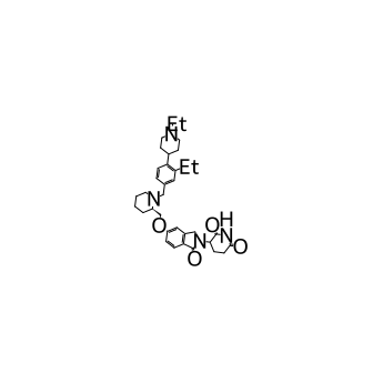 CCc1cc(CN2CCCC[C@@H]2COc2ccc3c(c2)CN(C2CCC(=O)NC2=O)C3=O)ccc1C1CCN(CC)CC1